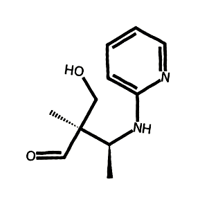 C[C@H](Nc1ccccn1)[C@@](C)(C=O)CO